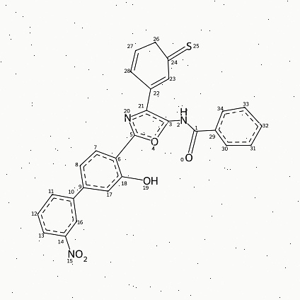 O=C(Nc1oc(-c2ccc(-c3cccc([N+](=O)[O-])c3)cc2O)nc1C1=CC(=S)CC=C1)c1ccccc1